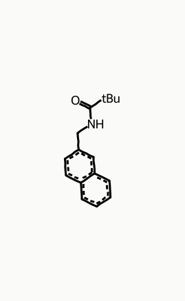 CC(C)(C)C(=O)NCc1ccc2ccccc2c1